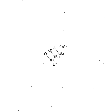 CC(C)(C)[O-].CC(C)(C)[O-].CC(C)(C)[O-].[Ca+2].[Li+]